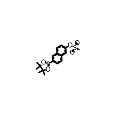 CC1(C)OB(c2ccc3cc(OS(C)(=O)=O)ccc3c2)OC1(C)C